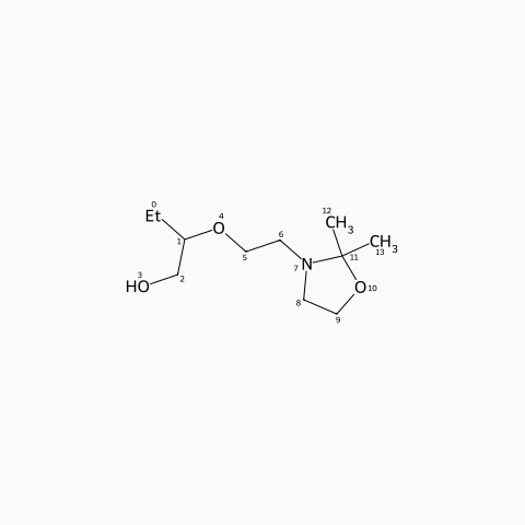 CCC(CO)OCCN1CCOC1(C)C